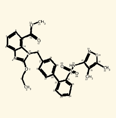 CCOc1nc2cccc(C(=O)OC)c2n1Cc1ccc(-c2ccccc2S(=O)(=O)Nc2noc(C)c2C)cc1